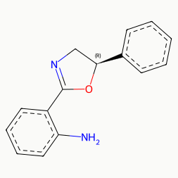 Nc1ccccc1C1=NC[C@@H](c2ccccc2)O1